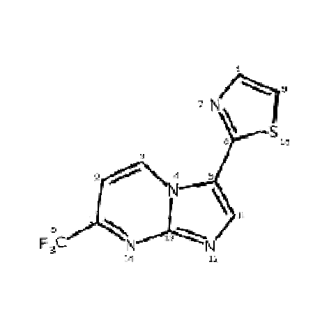 FC(F)(F)c1ccn2c(-c3nccs3)cnc2n1